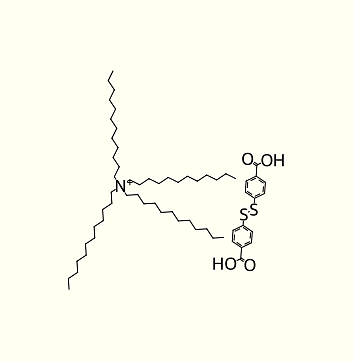 CCCCCCCCCCCC[N+](CCCCCCCCCCCC)(CCCCCCCCCCCC)CCCCCCCCCCCC.O=C(O)c1ccc(SSc2ccc(C(=O)O)cc2)cc1